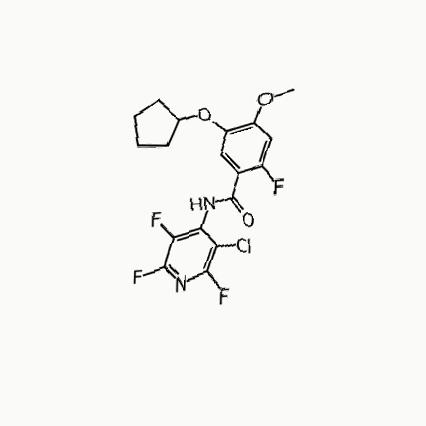 COc1cc(F)c(C(=O)Nc2c(F)c(F)nc(F)c2Cl)cc1OC1CCCC1